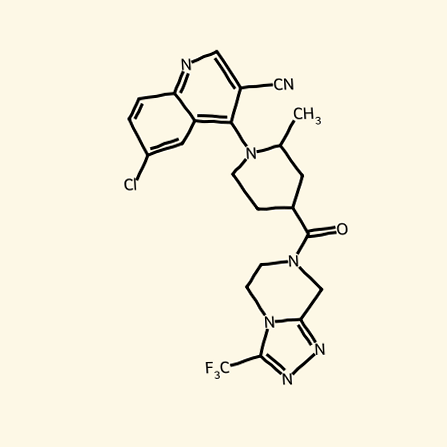 CC1CC(C(=O)N2CCn3c(nnc3C(F)(F)F)C2)CCN1c1c(C#N)cnc2ccc(Cl)cc12